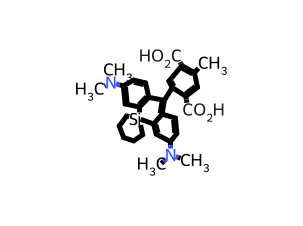 Cc1cc(C(=O)O)c(C2=C3C=CC(N(C)C)C=C3[Si]3(CCCCC3)c3cc(N(C)C)ccc32)cc1C(=O)O